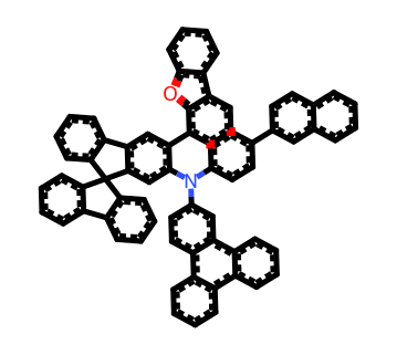 c1ccc2c(c1)-c1ccccc1C21c2ccccc2-c2cc(-c3cccc4c3oc3ccccc34)c(N(c3ccc(-c4ccc5ccccc5c4)cc3)c3ccc4c5ccccc5c5ccccc5c4c3)cc21